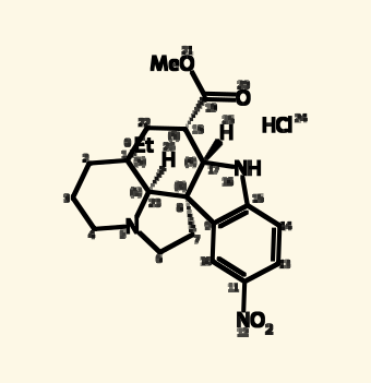 CC[C@]12CCCN3CC[C@]4(c5cc([N+](=O)[O-])ccc5N[C@H]4[C@@H](C(=O)OC)C1)[C@@H]32.Cl